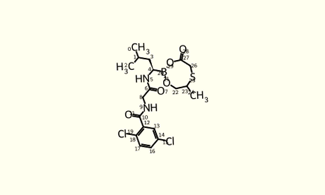 CC(C)C[C@H](NC(=O)CNC(=O)c1cc(Cl)ccc1Cl)B1OCC(C)SCC(=O)O1